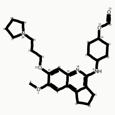 COc1cc2c3c(c(NC4CCC(OC=O)CC4)nc2cc1OCCCN1CCCC1)CCC3